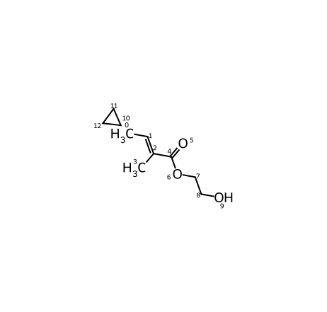 C/C=C(\C)C(=O)OCCO.C1CC1